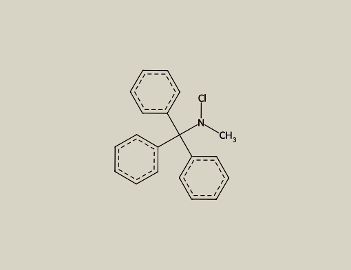 CN(Cl)C(c1ccccc1)(c1ccccc1)c1ccccc1